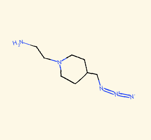 [N-]=[N+]=NCC1CCN(CCN)CC1